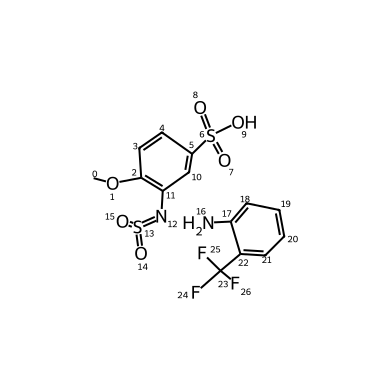 COc1ccc(S(=O)(=O)O)cc1N=S(=O)=O.Nc1ccccc1C(F)(F)F